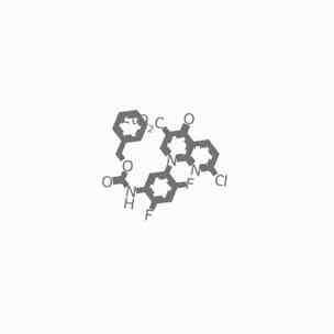 CCOC(=O)c1cn(-c2cc(NC(=O)OCc3ccccc3)c(F)cc2F)c2nc(Cl)ccc2c1=O